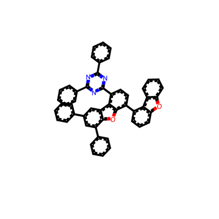 c1ccc(-c2cc(-c3ccccc3)c3oc4c(-c5cccc6oc7ccccc7c56)ccc(-c5nc(-c6ccccc6)nc(-c6ccccc6)n5)c4c3c2)cc1